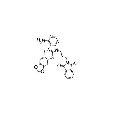 Nc1ncnc2c1nc(Sc1cc3c(cc1I)OCO3)n2CCCN1C(=O)c2ccccc2C1=O